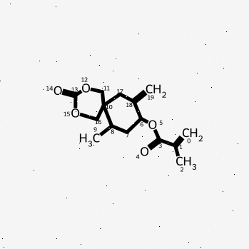 C=C(C)C(=O)OC1CC(C)C2(COC(=O)OC2)CC1=C